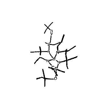 CC[N](CC)[Zr]([N](CC)CC)([N](C(C)(C)C)[Si](C)(C)OC(C)(C)C)[N](C(C)(C)C)[Si](C)(C)OC(C)(C)C